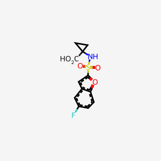 O=C(O)C1(NS(=O)(=O)c2cc3cc(F)ccc3o2)CC1